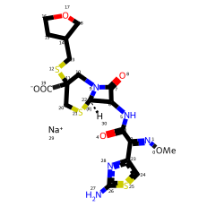 CON=C(C(=O)NC1C(=O)N2CC(SCC3CCOC3)(C(=O)[O-])CS[C@H]12)c1csc(N)n1.[Na+]